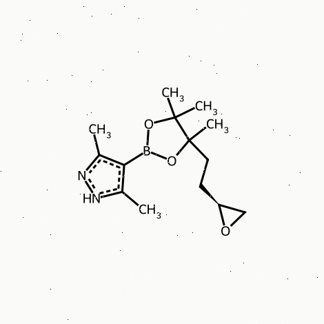 Cc1n[nH]c(C)c1B1OC(C)(C)C(C)(CC[C@H]2CO2)O1